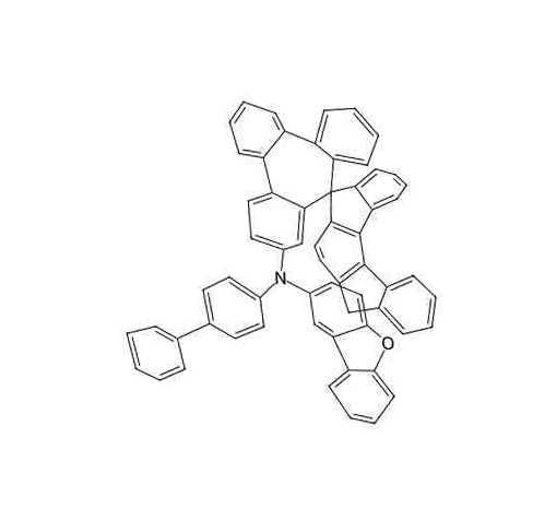 c1ccc(-c2ccc(N(c3ccc4c(c3)C3(c5ccccc5-c5ccccc5-4)c4ccccc4-c4c3ccc3c4-c4ccccc4C3)c3ccc4oc5ccccc5c4c3)cc2)cc1